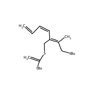 C=C/C=C\C(CSC(=C)C(C)(C)C)=C(/C)CC(C)(C)C